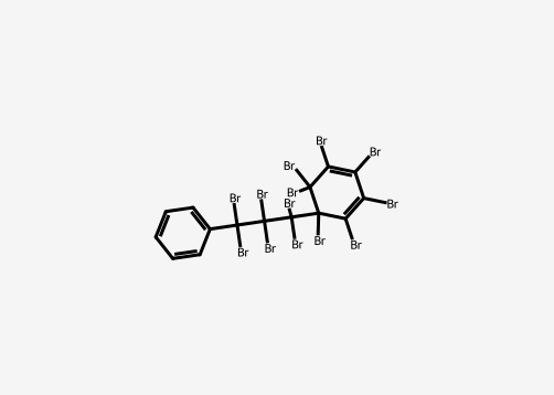 BrC1=C(Br)C(Br)(Br)C(Br)(C(Br)(Br)C(Br)(Br)C(Br)(Br)c2ccccc2)C(Br)=C1Br